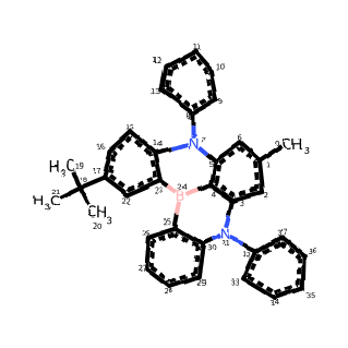 Cc1cc2c3c(c1)N(c1ccccc1)c1ccc(C(C)(C)C)cc1B3c1ccccc1N2c1ccccc1